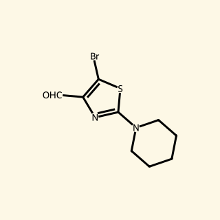 O=Cc1nc(N2CCCCC2)sc1Br